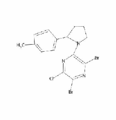 Cc1ccc(C2CCCN2c2nc(Cl)c(Br)nc2Br)cc1